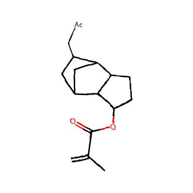 C=C(C)C(=O)OC1CCC2C3CC(CC3CC(C)=O)C12